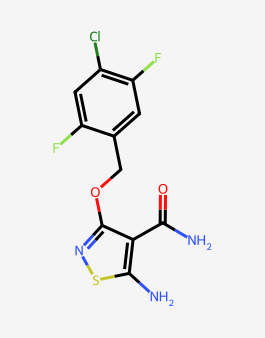 NC(=O)c1c(OCc2cc(F)c(Cl)cc2F)nsc1N